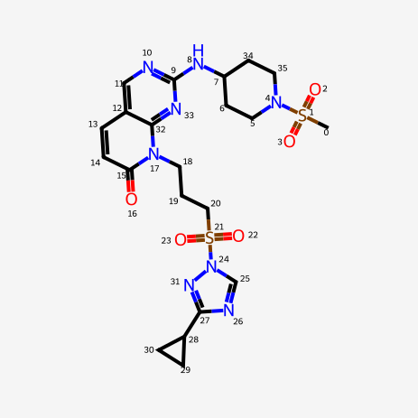 CS(=O)(=O)N1CCC(Nc2ncc3ccc(=O)n(CCCS(=O)(=O)n4cnc(C5CC5)n4)c3n2)CC1